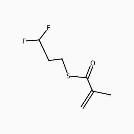 C=C(C)C(=O)SCCC(F)F